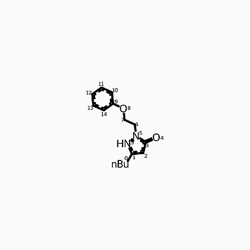 CCCCc1cc(=O)n(CCOc2ccccc2)[nH]1